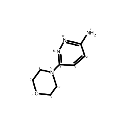 Nc1ccc(N2CCOCC2)nn1